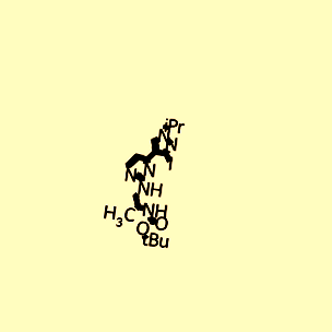 CC(CNc1nccc(-c2cn(C(C)C)nc2I)n1)NC(=O)OC(C)(C)C